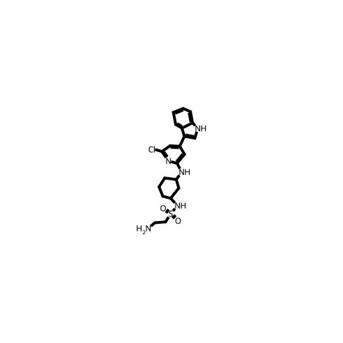 NCCS(=O)(=O)NC1CCCC(Nc2cc(-c3c[nH]c4ccccc34)cc(Cl)n2)C1